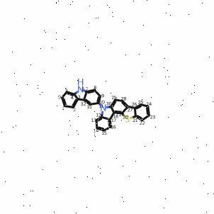 c1ccc2c(c1)[nH]c1ccc(-n3c4ccccc4c4c5sc6ccccc6c5ccc43)cc12